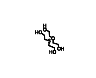 OCCOCCO.OCCSCCO